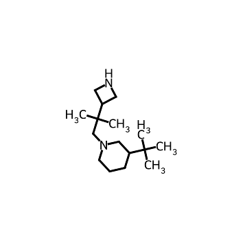 CC(C)(C)C1CCCN(CC(C)(C)C2CNC2)C1